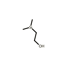 C[Si](C)CCO